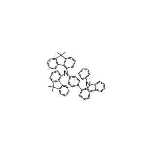 CC1(C)c2ccccc2-c2c(N(c3ccc(-c4cccc5c6ccccc6n(-c6ccccc6)c45)cc3)c3cccc4c3-c3ccccc3C4(C)C)cccc21